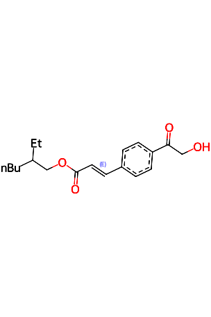 CCCCC(CC)COC(=O)/C=C/c1ccc(C(=O)CO)cc1